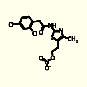 Cc1nc(NC(=O)Cc2ccc(Cl)cc2Cl)sc1CCO[N+](=O)[O-]